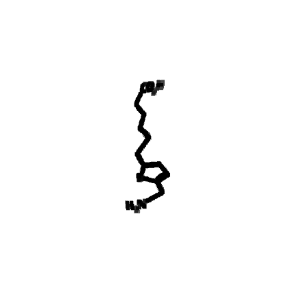 NCc1ccc(CCCCCC(=O)O)s1